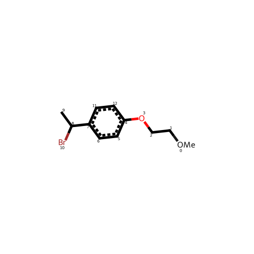 COCCOc1ccc(C(C)Br)cc1